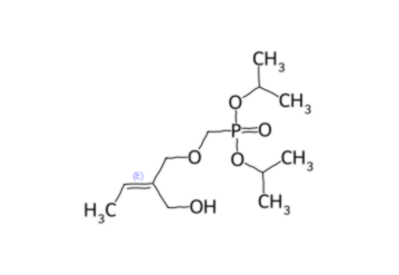 C/C=C(\CO)COCP(=O)(OC(C)C)OC(C)C